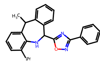 CC(C)c1cccc2c1NC(c1nc(-c3ccccc3)no1)c1ccccc1C2C